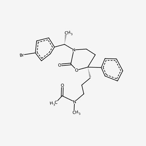 CC(=O)N(C)CCC[C@@]1(c2ccccc2)CCN([C@@H](C)c2ccc(Br)cc2)C(=O)O1